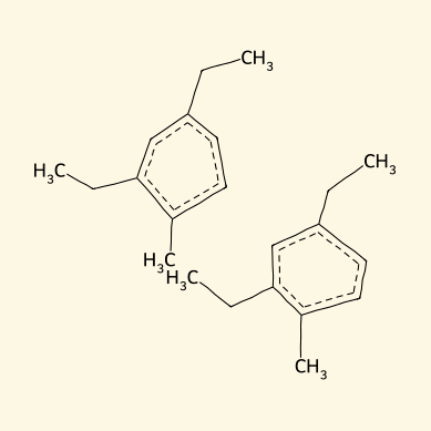 CCc1ccc(C)c(CC)c1.CCc1ccc(C)c(CC)c1